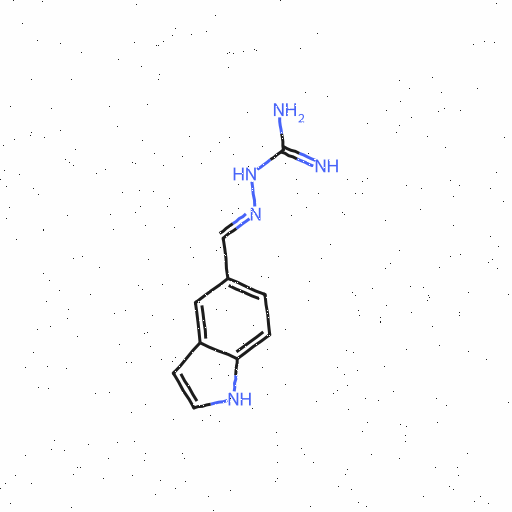 N=C(N)NN=Cc1ccc2[nH]ccc2c1